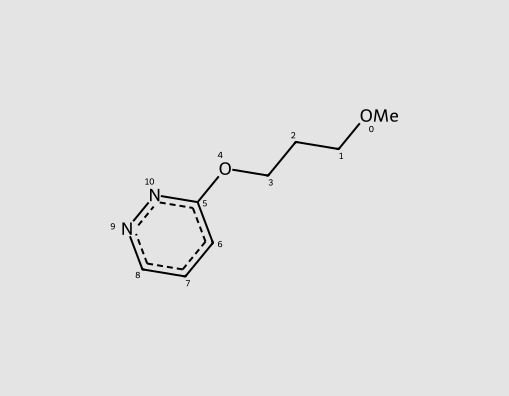 COCCCOc1cccnn1